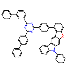 c1ccc(-c2ccc(-c3nc(-c4ccc(-c5cccc6oc7cc8c(cc7c56)c5ccccc5n8-c5ccccc5)cc4)nc(-c4cccc(-c5ccccc5)c4)n3)cc2)cc1